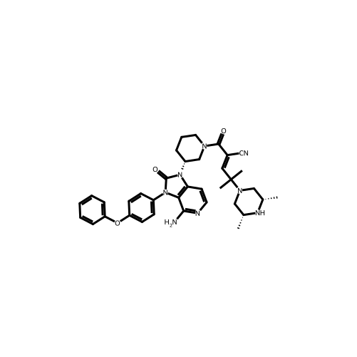 C[C@@H]1CN(C(C)(C)C=C(C#N)C(=O)N2CCC[C@@H](n3c(=O)n(-c4ccc(Oc5ccccc5)cc4)c4c(N)nccc43)C2)C[C@H](C)N1